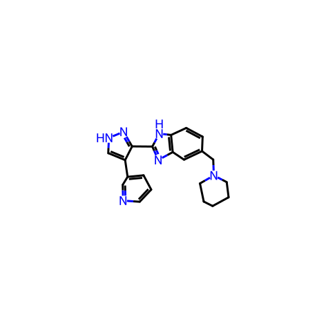 c1cncc(-c2c[nH]nc2-c2nc3cc(CN4CCCCC4)ccc3[nH]2)c1